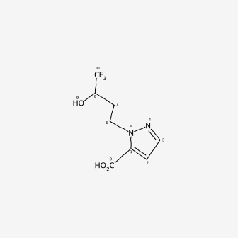 O=C(O)c1ccnn1CCC(O)C(F)(F)F